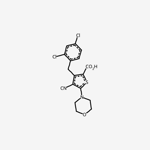 [C-]#[N+]c1c(N2CCOCC2)sc(C(=O)O)c1Cc1ccc(Cl)cc1Cl